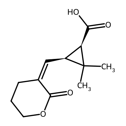 CC1(C)[C@H](C(=O)O)[C@@H]1C=C1CCCOC1=O